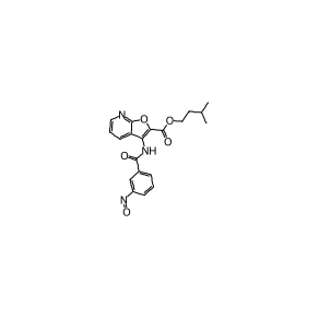 CC(C)CCOC(=O)c1oc2ncccc2c1NC(=O)c1cccc(N=O)c1